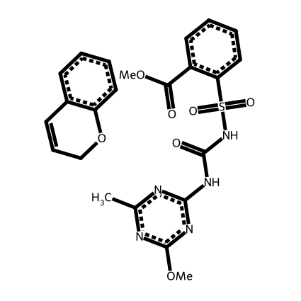 C1=Cc2ccccc2OC1.COC(=O)c1ccccc1S(=O)(=O)NC(=O)Nc1nc(C)nc(OC)n1